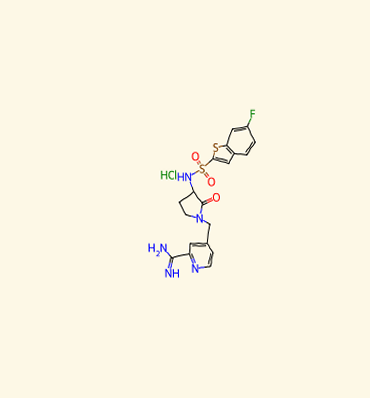 Cl.N=C(N)c1cc(CN2CCC(NS(=O)(=O)c3cc4ccc(F)cc4s3)C2=O)ccn1